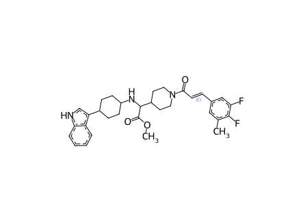 COC(=O)C(NC1CCC(c2c[nH]c3ccccc23)CC1)C1CCN(C(=O)/C=C/c2cc(C)c(F)c(F)c2)CC1